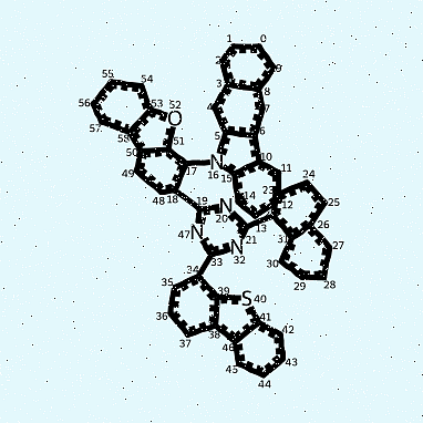 c1ccc2cc3c(cc2c1)c1ccccc1n3-c1c(-c2nc(-c3cccc4ccccc34)nc(-c3cccc4c3sc3ccccc34)n2)ccc2c1oc1ccccc12